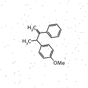 C=C(c1ccccc1)C(C)c1ccc(OC)cc1